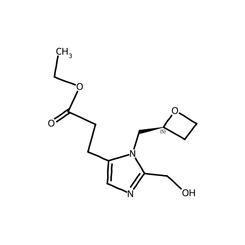 CCOC(=O)CCc1cnc(CO)n1C[C@@H]1CCO1